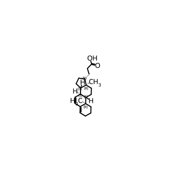 C[C@]12CC[C@H]3[C@@H](C=CC4=CCCC[C@@]43C)[C@@H]1CC[C@@H]2CCC(=O)O